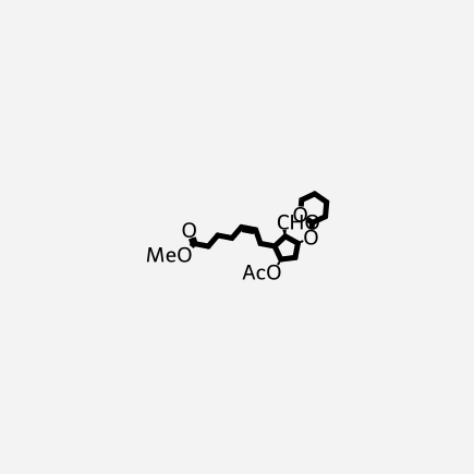 COC(=O)CCC/C=C\CC1[C@@H](OC(C)=O)C[C@@H](OC2CCCCO2)[C@@H]1C=O